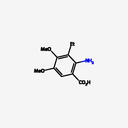 CCc1c(N)c(C(=O)O)cc(OC)c1OC